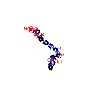 COc1ncc(-c2ccnc(N3CCn4c(cc5c4CC(C)(C)C5)C3=O)c2CO)cc1Nc1ccc(N2CCN(C3CCN(c4ccc5c(c4)C(=O)N(C4CCC(=O)N(C(C)OP(=O)(O)O)C4=O)C5=O)[C@@H](C)C3)C[C@@H]2C)cn1